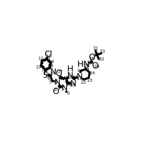 Cn1c(=O)n(Cc2nc3cc(Cl)ccc3s2)c(=O)c2[nH]c(N3CCC[C@@H](NC(=O)OC(C)(C)C)C3)nc21